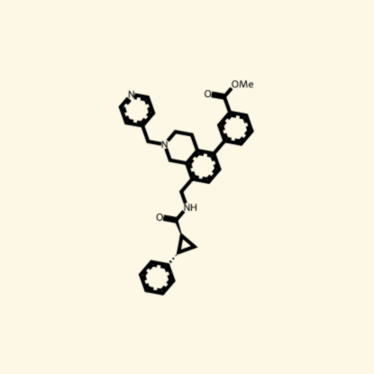 COC(=O)c1cccc(-c2ccc(CNC(=O)[C@H]3C[C@@H]3c3ccccc3)c3c2CCN(Cc2ccncc2)C3)c1